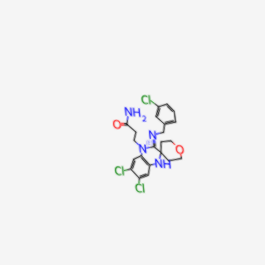 NC(=O)CCN1/C(=N/Cc2cccc(Cl)c2)C2(CCOCC2)Nc2cc(Cl)c(Cl)cc21